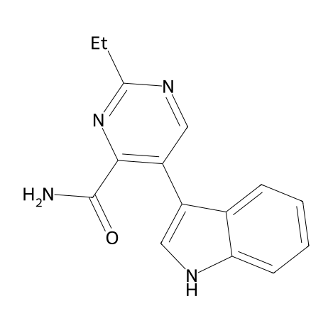 CCc1ncc(-c2c[nH]c3ccccc23)c(C(N)=O)n1